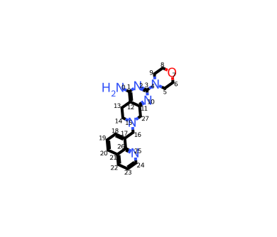 Nc1nc(N2CCOCC2)nc2c1CCN(Cc1cccc3cccnc13)C2